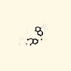 C=CCc1cc([N+](=C)c2ccc3c(c2)C(C)(C)CCC3(C)C)ccc1C(=O)ON